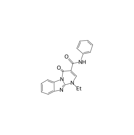 CCn1cc(C(=O)Nc2ccccc2)c(=O)n2c3ccccc3nc12